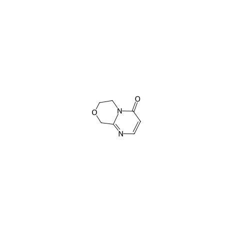 O=c1ccnc2n1CCOC2